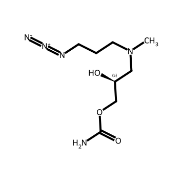 CN(CCCN=[N+]=[N-])C[C@H](O)COC(N)=O